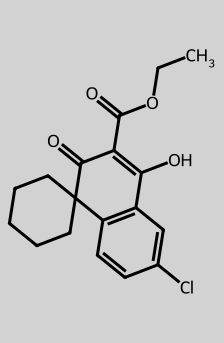 CCOC(=O)C1=C(O)c2cc(Cl)ccc2C2(CCCCC2)C1=O